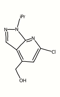 CC(C)n1ncc2c(CO)cc(Cl)nc21